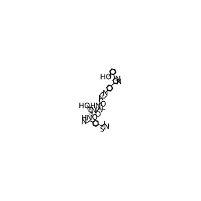 Cc1ncsc1-c1ccc(C(CN(C)C)NC(=O)[C@@H]2C[C@@H](O)CN2C(=O)[C@@H](NC(=O)CN2CCN(c3ccc(-c4cnnc(-c5ccccc5O)c4)cc3)CC2)C(C)(C)C)cc1